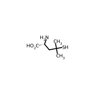 CC(C)(S)C[C@@H](N)C(=O)O